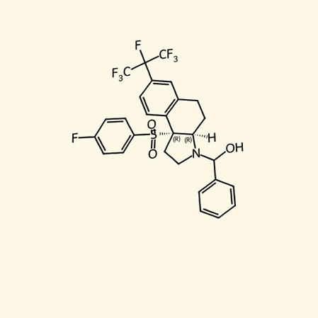 O=S(=O)(c1ccc(F)cc1)[C@@]12CCN(C(O)c3ccccc3)[C@@H]1CCc1cc(C(F)(C(F)(F)F)C(F)(F)F)ccc12